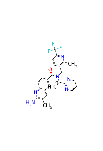 Cc1cc2cc(C(=O)N(Cc3ccc(C(F)(F)F)nc3C)[C@H](C)c3ncccn3)ccc2nc1N